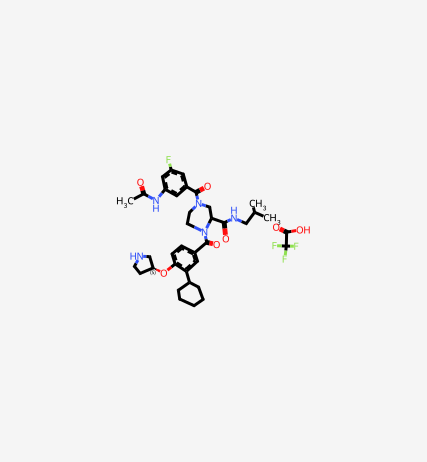 CC(=O)Nc1cc(F)cc(C(=O)N2CCN(C(=O)c3ccc(O[C@H]4CCNC4)c(C4CCCCC4)c3)C(C(=O)NCC(C)C)C2)c1.O=C(O)C(F)(F)F